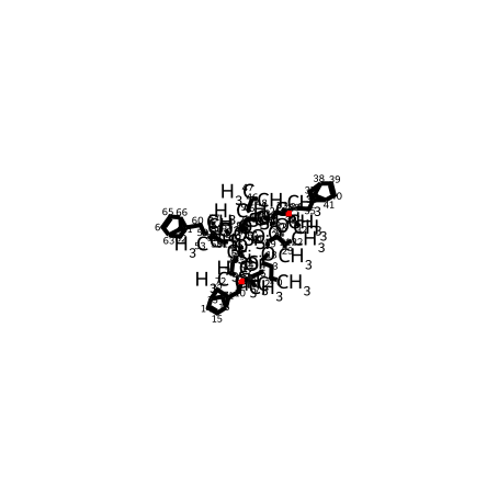 CC(C)C[Si]1(C[Si](C)(C)CCC2CC3C=CC2C3)O[Si]2(CC(C)C)O[Si](CC(C)C)(O[Si](C)(C)CCC3CC4C=CC3C4)O[Si]3(CC(C)C)O[Si](CC(C)C)(O[Si](C)(C)CCC4CC5C=CC4C5)O[Si](CC(C)C)(O1)O[Si](CC(C)C)(O2)O3